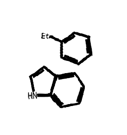 CCc1ccccc1.c1ccc2[nH]ccc2c1